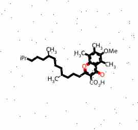 COc1c(C)c(C)c2oc(CCC[C@H](C)CCC[C@H](C)CCCC(C)C)c(C(=O)O)c(=O)c2c1C